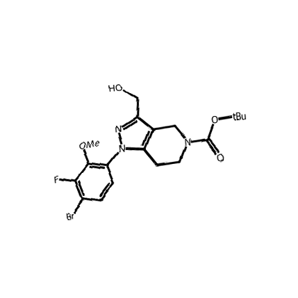 COc1c(-n2nc(CO)c3c2CCN(C(=O)OC(C)(C)C)C3)ccc(Br)c1F